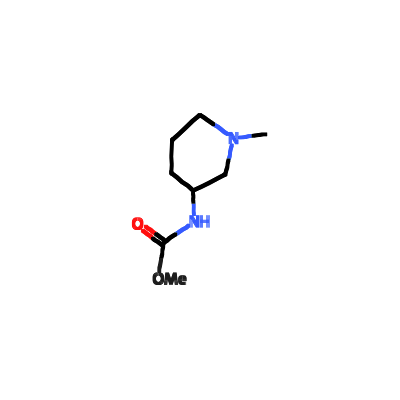 COC(=O)NC1CCCN(C)C1